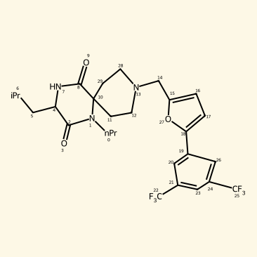 CCCN1C(=O)C(CC(C)C)NC(=O)C12CCN(Cc1ccc(-c3cc(C(F)(F)F)cc(C(F)(F)F)c3)o1)CC2